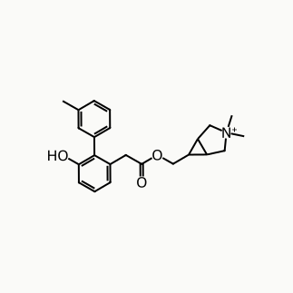 Cc1cccc(-c2c(O)cccc2CC(=O)OCC2C3C[N+](C)(C)CC23)c1